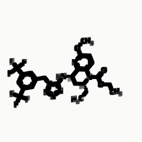 CCOC(=O)N1c2ccc(OC)nc2[C@@H](Nc2nnnn2Cc2cc(C(F)(F)F)cc(C(F)(F)F)c2)C[C@H]1CC